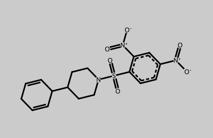 O=[N+]([O-])c1ccc(S(=O)(=O)N2CCC(C3C=CCC=C3)CC2)c([N+](=O)[O-])c1